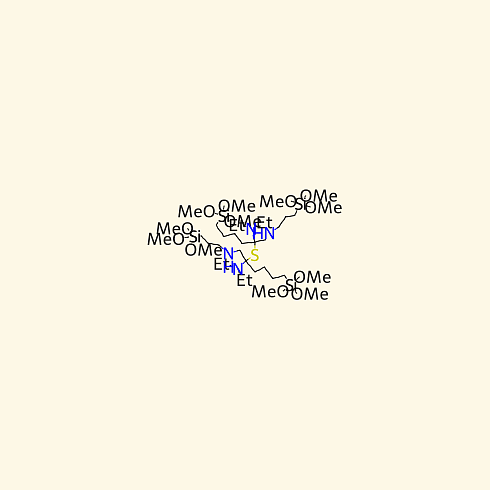 CCN(CC)C(CCCC[Si](OC)(OC)OC)(CNCCC[Si](OC)(OC)OC)SC(CCCC[Si](OC)(OC)OC)(CNCCC[Si](OC)(OC)OC)N(CC)CC